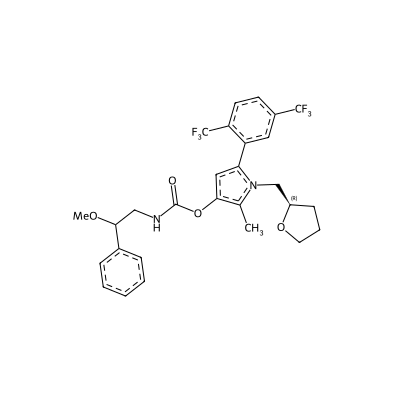 COC(CNC(=O)Oc1cc(-c2cc(C(F)(F)F)ccc2C(F)(F)F)n(C[C@H]2CCCO2)c1C)c1ccccc1